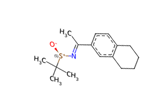 CC(=N[S@+]([O-])C(C)(C)C)c1ccc2c(c1)CCCC2